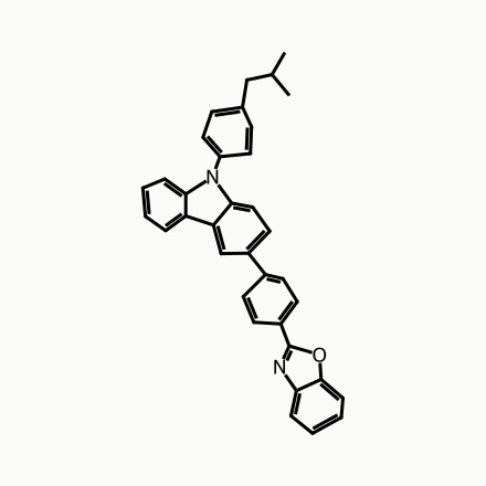 CC(C)Cc1ccc(-n2c3ccccc3c3cc(-c4ccc(-c5nc6ccccc6o5)cc4)ccc32)cc1